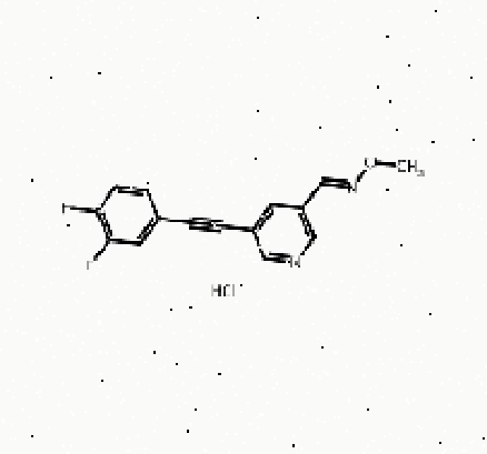 CO/N=C/c1cncc(C#Cc2ccc(F)c(F)c2)c1.Cl